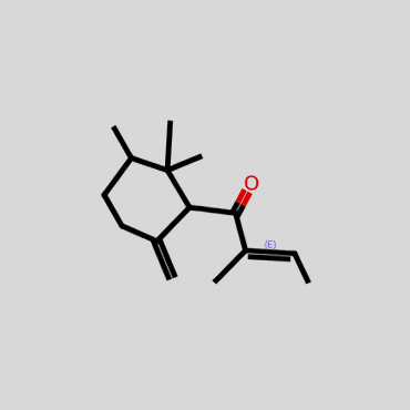 C=C1CCC(C)C(C)(C)C1C(=O)/C(C)=C/C